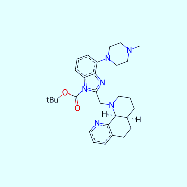 CN1CCN(c2cccc3c2nc(CN2CCC[C@H]4CCc5cccnc5[C@H]42)n3C(=O)OC(C)(C)C)CC1